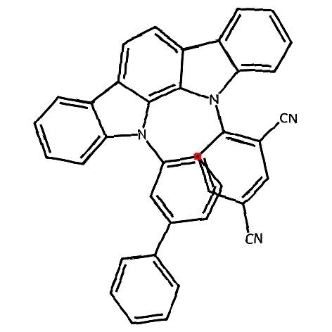 N#Cc1ccc(-n2c3ccccc3c3ccc4c5ccccc5n(-c5cccc(-c6ccccc6)c5)c4c32)c(C#N)c1